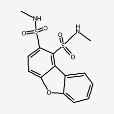 CNS(=O)(=O)c1ccc2oc3ccccc3c2c1S(=O)(=O)NC